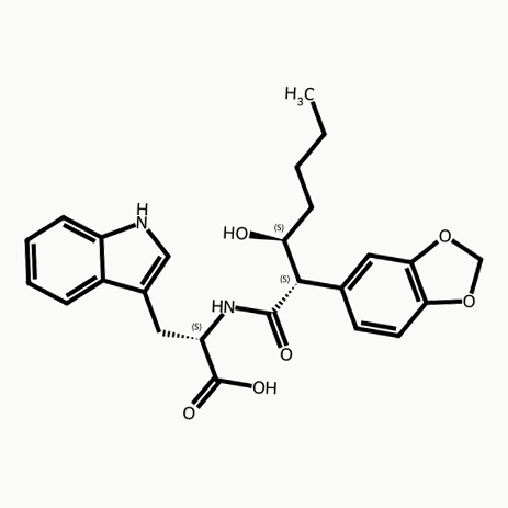 CCCC[C@H](O)[C@@H](C(=O)N[C@@H](Cc1c[nH]c2ccccc12)C(=O)O)c1ccc2c(c1)OCO2